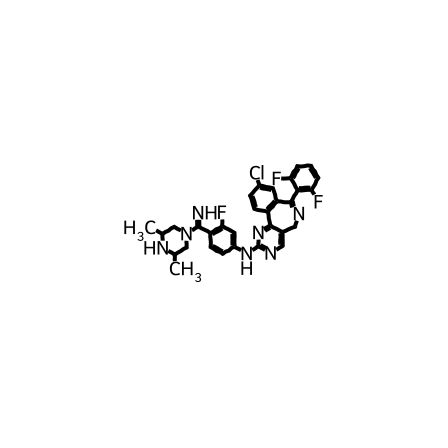 CC1CN(C(=N)c2ccc(Nc3ncc4c(n3)-c3ccc(Cl)cc3C(c3c(F)cccc3F)=NC4)cc2F)CC(C)N1